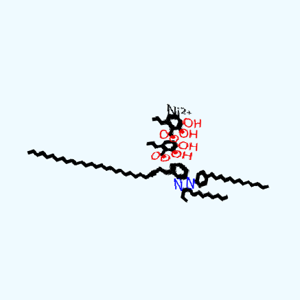 CCCCCCCCCCCCCCCCCCCCCCCCCC#CCCc1ccccc1N=C(CC)C(CCCCCCCC)=Nc1ccc(CCCCCCCCCCCCC)cc1.CCCc1ccc(O)c(O)c1C(=O)[O-].CCCc1ccc(O)c(O)c1C(=O)[O-].[Ni+2]